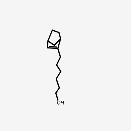 OCCCCCCC1=CC2CCC1C2